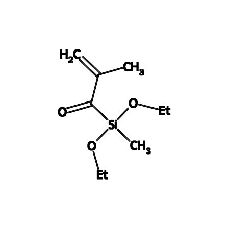 C=C(C)C(=O)[Si](C)(OCC)OCC